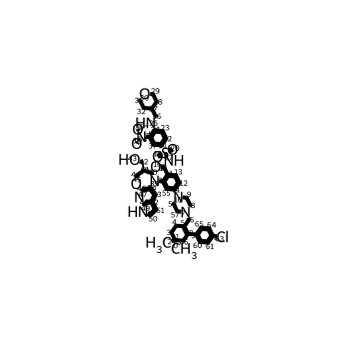 CC1(C)CCC(CN2CCN(c3ccc(C(=O)NS(=O)(=O)c4ccc(NCC5CCOCC5)c([N+](=O)[O-])c4)c(N4C[C@H](CO)COc5nc6[nH]ccc6cc54)c3)CC2)=C(c2ccc(Cl)cc2)C1